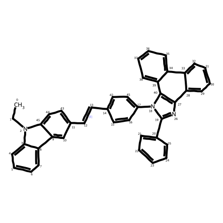 CCn1c2ccccc2c2cc(/C=C/c3ccc(-n4c(-c5ccccc5)nc5c6ccccc6c6ccccc6c54)cc3)ccc21